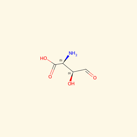 N[C@H](C(=O)O)[C@H](O)C=O